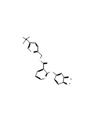 CC(C)(O)c1ccc(CNC(=O)c2cccnc2Oc2ccc3nonc3c2)nc1